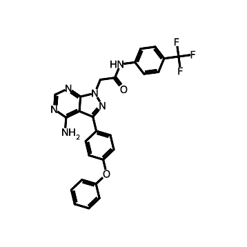 Nc1ncnc2c1c(-c1ccc(Oc3ccccc3)cc1)nn2CC(=O)Nc1ccc(C(F)(F)F)cc1